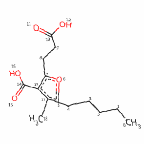 CCCCCc1oc(CCC(=O)O)c(C(=O)O)c1C